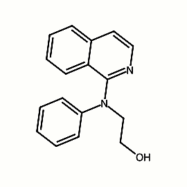 OCCN(c1ccccc1)c1nccc2ccccc12